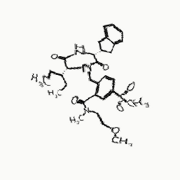 CCC(CC)[C@@H]1C(=O)N[C@H](C2Cc3ccccc3C2)C(=O)N1Cc1ccc(S(C)(=O)=O)cc1C(=O)N(C)CCOC